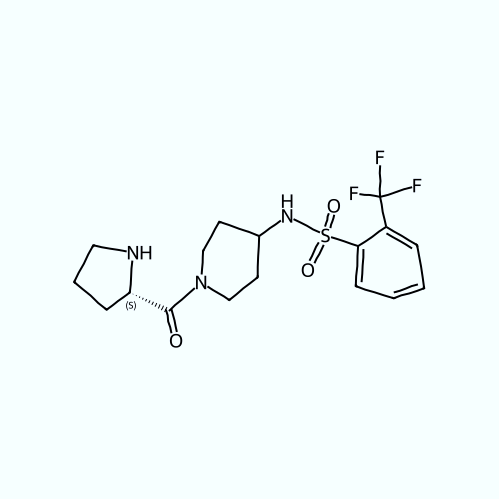 O=C([C@@H]1CCCN1)N1CCC(NS(=O)(=O)c2ccccc2C(F)(F)F)CC1